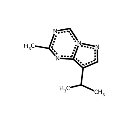 Cc1ncn2ncc(C(C)C)c2n1